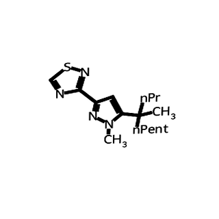 CCCCCC(C)(CCC)c1cc(-c2ncsn2)nn1C